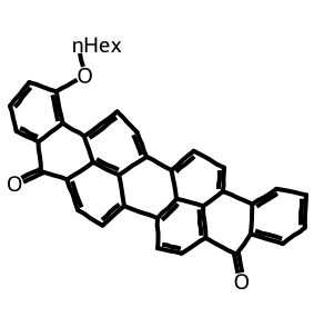 CCCCCCOc1cccc2c1-c1ccc3c4ccc5c6c(ccc(c7ccc(c1c73)C2=O)c64)C(=O)c1ccccc1-5